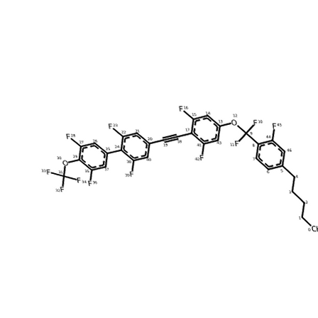 CCCCCc1ccc(C(F)(F)Oc2cc(F)c(C#Cc3cc(F)c(-c4cc(F)c(OC(F)(F)F)c(F)c4)c(F)c3)c(F)c2)c(F)c1